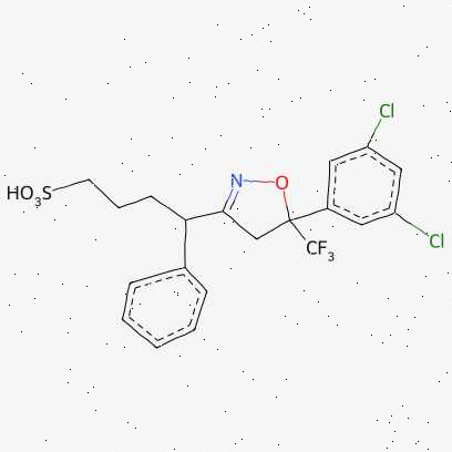 O=S(=O)(O)CCCC(C1=NOC(c2cc(Cl)cc(Cl)c2)(C(F)(F)F)C1)c1ccccc1